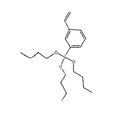 C=Cc1cccc([Si](OCCCC)(OCCCC)OCCCC)c1